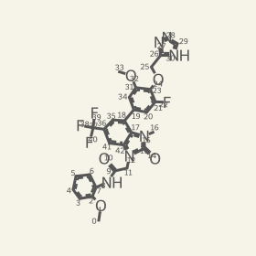 COc1ccccc1NC(=O)Cn1c(=O)n(C)c2c(-c3cc(F)c(OCc4nnc[nH]4)c(OC)c3)cc(C(F)(F)F)cc21